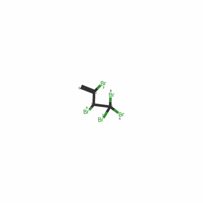 C=C(Br)C(Br)C(Br)(Br)Br